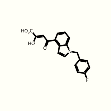 O=C(O)/C(O)=C/C(=O)c1cccc2c1ccn2Cc1ccc(F)cc1